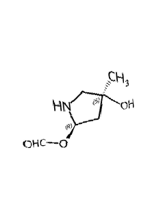 C[C@@]1(O)CN[C@H](OC=O)C1